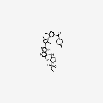 CCS(=O)(=O)N1CCC(Nc2c(Br)cnc3nc(-c4cc(C)n(-c5cc(C(=O)N6CCN(C)CC6)ccc5C)c4C)[nH]c23)C1